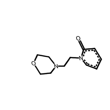 O=c1ccccn1CCN1CCOCC1